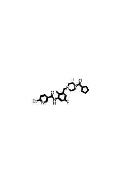 CCc1ccc(C(=O)Nc2cc(F)cc(CN3CCN(C(=O)C4CCCC4)[C@@H](C)C3)c2C)cn1